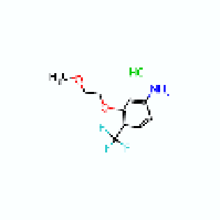 COCCOc1cc(N)ccc1C(F)(F)F.Cl